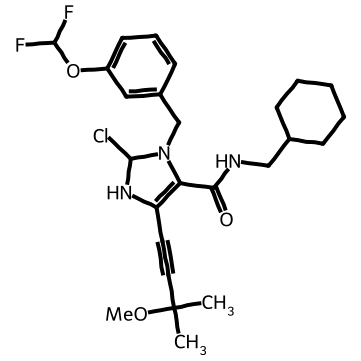 COC(C)(C)C#CC1=C(C(=O)NCC2CCCCC2)N(Cc2cccc(OC(F)F)c2)C(Cl)N1